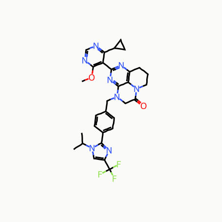 COc1ncnc(C2CC2)c1-c1nc2c3c(n1)N(Cc1ccc(-c4nc(C(F)(F)F)cn4C(C)C)cc1)CC(=O)N3CCC2